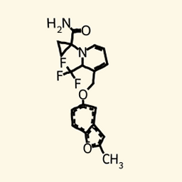 Cc1cc2cc(OCC3=CC=CN(C4(C(N)=O)CC4)C3C(F)(F)F)ccc2o1